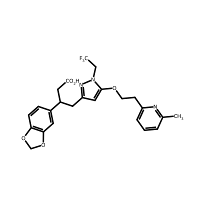 Cc1cccc(CCOc2cc(CC(CC(=O)O)c3ccc4c(c3)OCO4)nn2CC(F)(F)F)n1